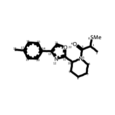 CSC(C)C(=O)N1CCCCC1c1nc(-c2ccc(C)cc2)co1